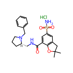 CC1(C)Cc2cc(S(N)(=O)=O)cc(C(=O)NC[C@@H]3CCCN3Cc3ccccc3)c2O1.Cl